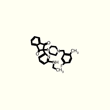 CCNc1cccc(C2(N3CCN(Cc4cc(F)ccc4C)CC3)C(=O)c3ccccc3C2=O)n1